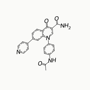 CC(=O)Nc1ccc(-n2cc(C(N)=O)c(=O)c3ccc(-c4ccncc4)cc32)cc1